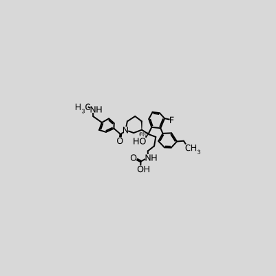 CCc1cccc(-c2c(F)cccc2[C@](O)(CCCNC(=O)O)[C@@H]2CCCN(C(=O)c3ccc(CNC)cc3)C2)c1